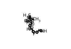 CCc1nc2c(cnn2CC)c(NC2CCOCC2)c1CNC(=O)c1cccc(S(=O)(=O)NCc2ccc(F)c(-c3cccc(CN4CCNCC4)c3)c2)c1